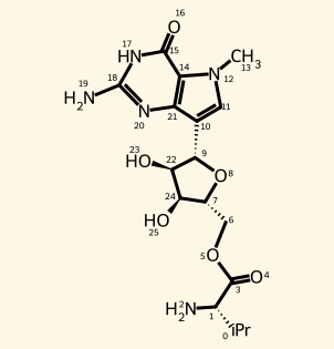 CC(C)[C@H](N)C(=O)OC[C@H]1O[C@@H](c2cn(C)c3c(=O)[nH]c(N)nc23)[C@H](O)[C@@H]1O